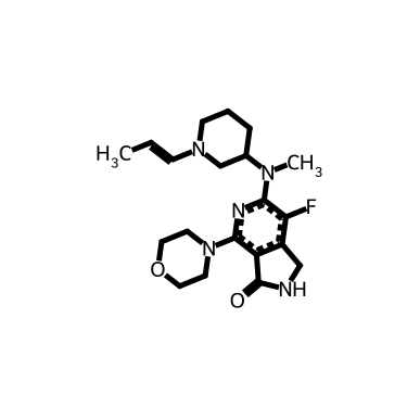 CC=CN1CCCC(N(C)c2nc(N3CCOCC3)c3c(c2F)CNC3=O)C1